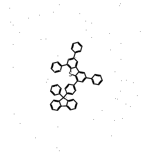 c1ccc(-c2cc(-c3ccccc3)c3sc4c(-c5ccc(C6(c7ccccc7)c7ccccc7-c7ccccc76)cc5)cc(-c5ccccc5)cc4c3c2)cc1